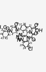 COC1(N2CCN(c3ccc(CC(C(=O)O)N4CCN(c5cc(Cl)ccc5-n5cnnn5)C(=O)C4=O)cc3)C(=O)C2)CCCCC1